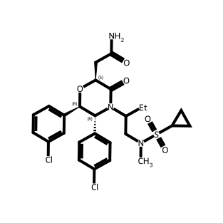 CCC(CN(C)S(=O)(=O)C1CC1)N1C(=O)[C@H](CC(N)=O)O[C@H](c2cccc(Cl)c2)[C@H]1c1ccc(Cl)cc1